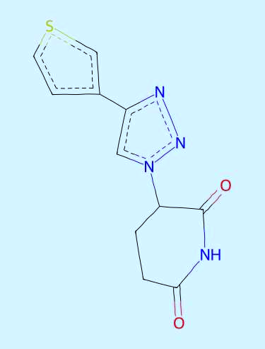 O=C1CCC(n2cc(-c3ccsc3)nn2)C(=O)N1